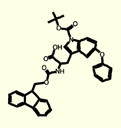 CC(C)(C)OC(=O)n1cc(CC(NC(=O)OCC2c3ccccc3-c3ccccc32)C(=O)O)c2cc(Oc3ccccc3)ccc21